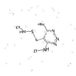 CCCCc1nnnc(NCC)c1SSNCC